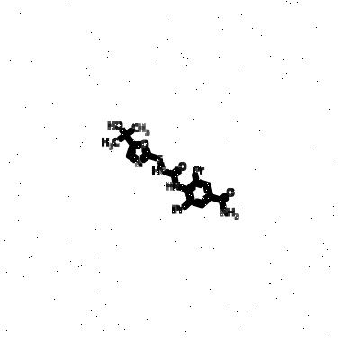 CC(C)c1cc(C(N)=O)cc(C(C)C)c1NC(=O)NSc1ncc(C(C)(C)O)o1